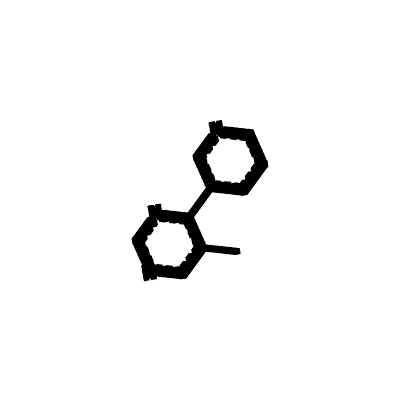 Cc1cncnc1-c1cccnc1